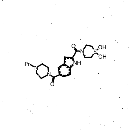 CC(C)N1CCN(C(=O)c2ccc3[nH]c(C(=O)N4CCS(O)(O)CC4)cc3c2)CC1